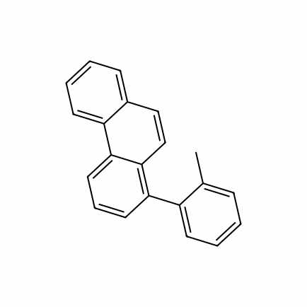 Cc1ccccc1-c1cccc2c1ccc1ccccc12